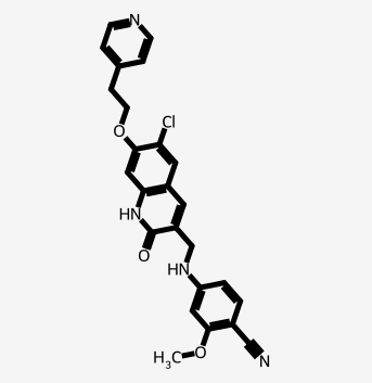 COc1cc(NCc2cc3cc(Cl)c(OCCc4ccncc4)cc3[nH]c2=O)ccc1C#N